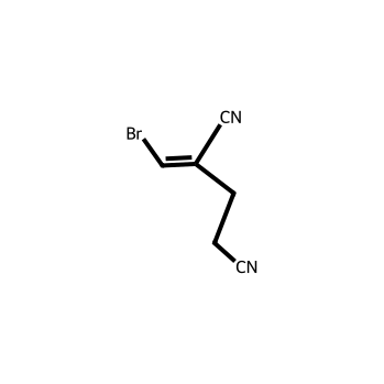 N#CCCC(C#N)=CBr